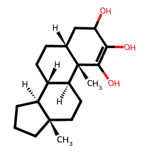 C[C@@]12CCC[C@H]1[C@@H]1CC[C@@H]3CC(O)C(O)=C(O)[C@]3(C)[C@H]1CC2